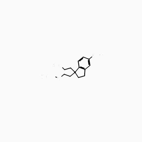 CCOC(=O)OCCC1(CCOC(C)=O)CCc2cc([C]=O)ccc21